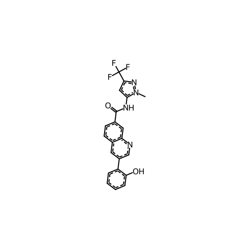 Cn1nc(C(F)(F)F)cc1NC(=O)c1ccc2cc(-c3ccccc3O)cnc2c1